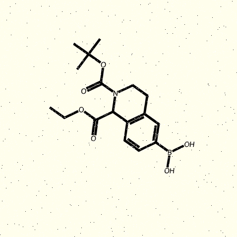 CCOC(=O)C1c2ccc(B(O)O)cc2CCN1C(=O)OC(C)(C)C